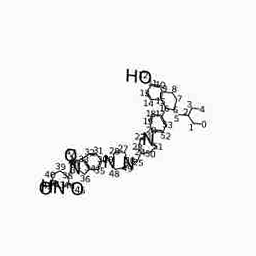 CCC(CC)C[C@H]1CCc2cc(O)ccc2[C@H]1c1ccc(N2CCC(CN3CCN(c4ccc5c(c4)CN([C@H]4CCC(=O)NC4=O)C5=O)CC3)CC2)cc1